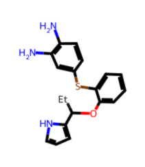 CCC(Oc1ccccc1Sc1ccc(N)c(N)c1)c1ccc[nH]1